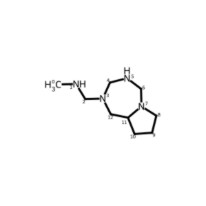 CNCN1CNCN2CCCC2C1